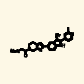 CNCC(=O)N1CCc2cc(-c3ccc4[nH]c(-c5ccnc(C)c5)c(C(C)C)c4c3)sc2C1